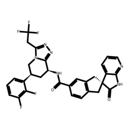 O=C(N[C@H]1C[C@@H](c2cccc(F)c2F)Cn2c(CC(F)(F)F)nnc21)c1ccc2c(c1)C[C@@]1(C2)C(=O)Nc2ncccc21